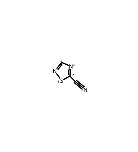 N#Cc1n[c]ns1